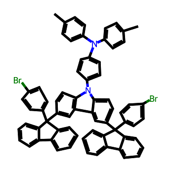 Cc1ccc(N(c2ccc(C)cc2)c2ccc(-n3c4ccc(C5(c6ccc(Br)cc6)c6ccccc6-c6ccccc65)cc4c4cc(C5(c6ccc(Br)cc6)c6ccccc6-c6ccccc65)ccc43)cc2)cc1